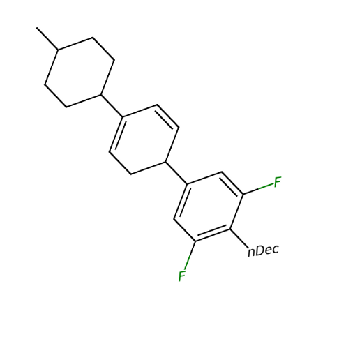 CCCCCCCCCCc1c(F)cc(C2C=CC(C3CCC(C)CC3)=CC2)cc1F